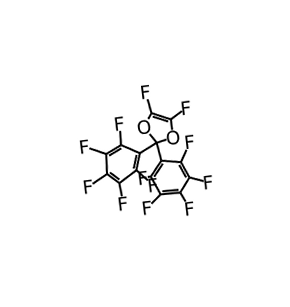 FC1=C(F)OC(c2c(F)c(F)c(F)c(F)c2F)(c2c(F)c(F)c(F)c(F)c2F)O1